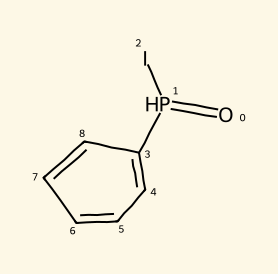 O=[PH](I)c1ccccc1